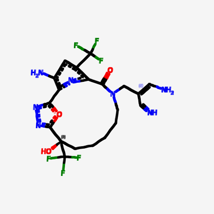 N=C/C(=C\N)CN1CCCCC[C@](O)(C(F)(F)F)c2nnc(o2)-c2nc(c(C(F)(F)F)cc2N)C1=O